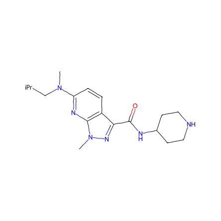 CC(C)CN(C)c1ccc2c(C(=O)NC3CCNCC3)nn(C)c2n1